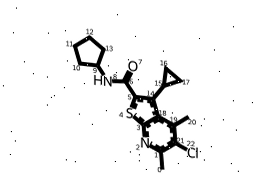 Cc1nc2sc(C(=O)NC3CCCC3)c(C3CC3)c2c(C)c1Cl